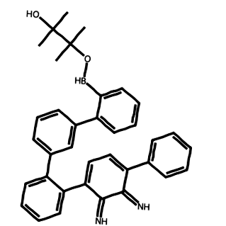 CC(C)(O)C(C)(C)OBc1ccccc1-c1cccc(-c2ccccc2C2=CC=C(c3ccccc3)C(=N)C2=N)c1